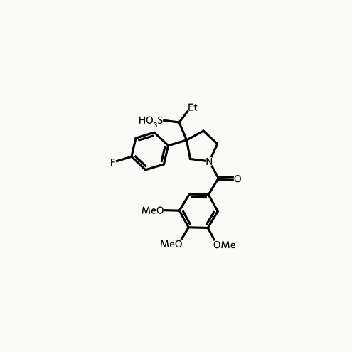 CCC(C1(c2ccc(F)cc2)CCN(C(=O)c2cc(OC)c(OC)c(OC)c2)C1)S(=O)(=O)O